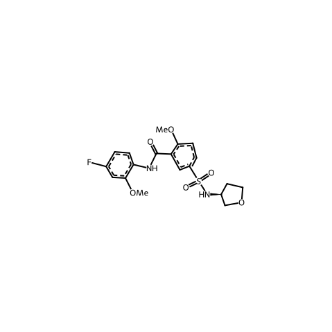 COc1cc(F)ccc1NC(=O)c1cc(S(=O)(=O)N[C@H]2CCOC2)ccc1OC